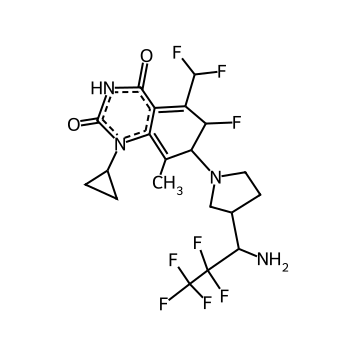 CC1=c2c(c(=O)[nH]c(=O)n2C2CC2)=C(C(F)F)C(F)C1N1CCC(C(N)C(F)(F)C(F)(F)F)C1